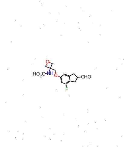 O=CC1Cc2cc(OCC3(NC(=O)O)COC3)cc(F)c2C1